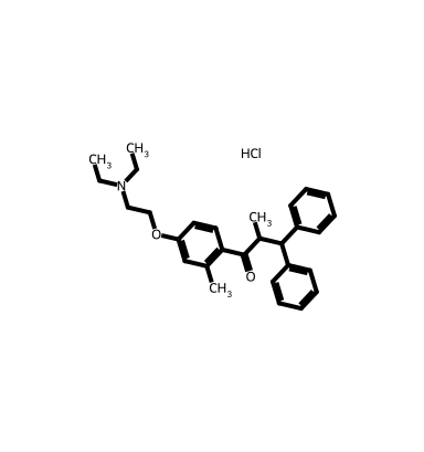 CCN(CC)CCOc1ccc(C(=O)C(C)C(c2ccccc2)c2ccccc2)c(C)c1.Cl